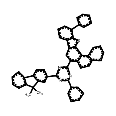 CC1(C)c2ccccc2-c2ccc(-c3nc(-c4ccccc4)nc(-c4cc5c6cccc(-c7ccccc7)c6sc5c5c4ccc4ccccc45)n3)cc21